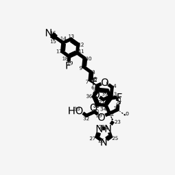 C[C@@H](S[C@H]1CO[C@H](/C=C/C=C/c2ccc(C#N)cc2F)OC1)[C@@](Cn1cncn1)(OC(=O)CO)c1ccc(F)cc1F